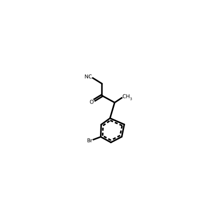 CC(C(=O)CC#N)c1cccc(Br)c1